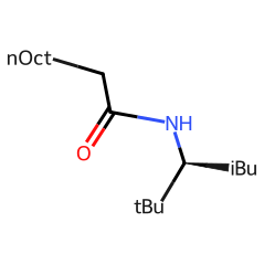 CCCCCCCCCC(=O)N[C@@H](C(C)CC)C(C)(C)C